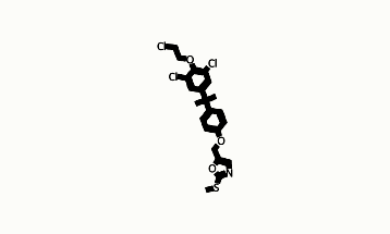 CSc1ncc(COc2ccc(C(C)(C)c3cc(Cl)c(OCCCl)c(Cl)c3)cc2)o1